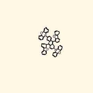 C1=CC(c2c3ccc(N4c5ccccc5Oc5ccccc54)cc3c(-c3cccc4c5c(oc34)C=CCC5)c3ccc(N4c5ccccc5Oc5ccccc54)cc23)C2Oc3ccccc3C2=C1